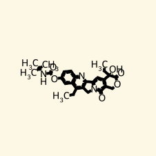 CCc1c2c(nc3ccc(OC(=O)NC(C)(C)C)cc13)-c1cc3c(c(=O)n1C2)COC(=O)[C@]3(O)CC